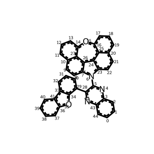 c1ccc2nc(-n3c4ccc5cccc6oc7cccc8ccc3c(c87)c4c56)c(-c3cccc4c3oc3ccccc34)nc2c1